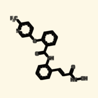 O=C(C=Cc1ccccc1NC(=O)c1ccccc1Oc1ccc(C(F)(F)F)nc1)NO